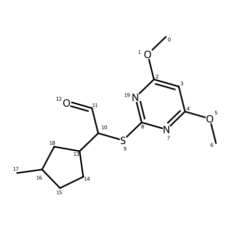 COc1cc(OC)nc(SC(C=O)C2CCC(C)C2)n1